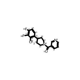 O=C(c1cccnc1)N1CCC(c2ccc(F)c(F)c2C(F)(F)F)CC1